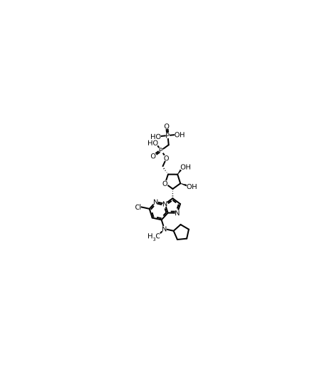 CN(c1cc(Cl)nn2c([C@@H]3O[C@H](COP(=O)(O)CP(=O)(O)O)[C@@H](O)[C@H]3O)cnc12)C1CCCC1